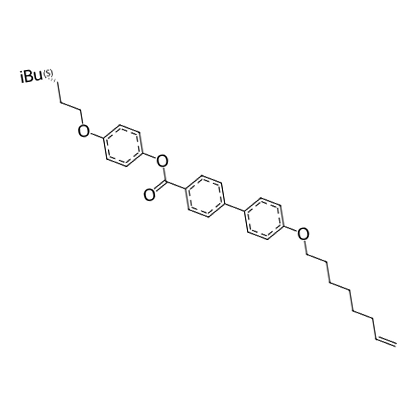 C=CCCCCCCOc1ccc(-c2ccc(C(=O)Oc3ccc(OCCC[C@@H](C)CC)cc3)cc2)cc1